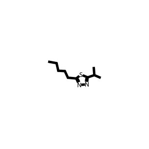 CCCCCc1nnc(C(C)C)s1